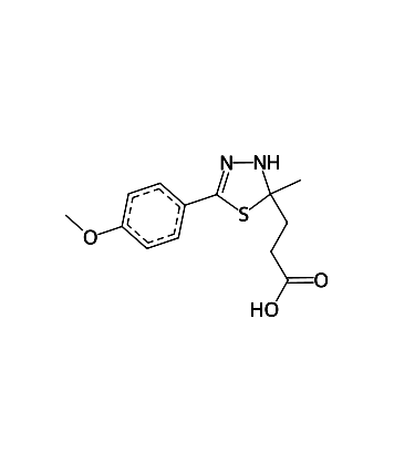 COc1ccc(C2=NNC(C)(CCC(=O)O)S2)cc1